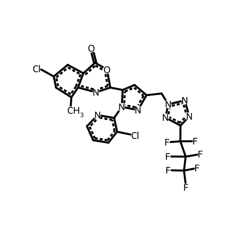 Cc1cc(Cl)cc2c(=O)oc(-c3cc(Cn4nnc(C(F)(F)C(F)(F)C(F)(F)F)n4)nn3-c3ncccc3Cl)nc12